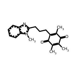 CC1=C(C)C(=O)C(CCCc2nc3ccccc3n2C)=C(C)C1=O